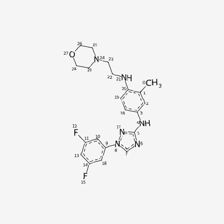 Cc1cc(Nc2ncn(-c3cc(F)cc(F)c3)n2)ccc1NCCN1CCOCC1